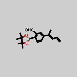 C=C/C=C(\C)c1ccc(B2OC(C)(C)C(C)(C)O2)c(C=O)c1